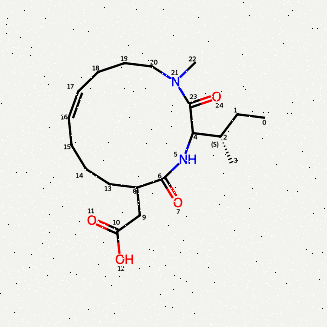 CC[C@H](C)C1NC(=O)C(CC(=O)O)CCCC=CCCCN(C)C1=O